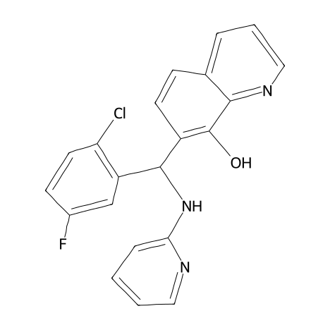 Oc1c(C(Nc2ccccn2)c2cc(F)ccc2Cl)ccc2cccnc12